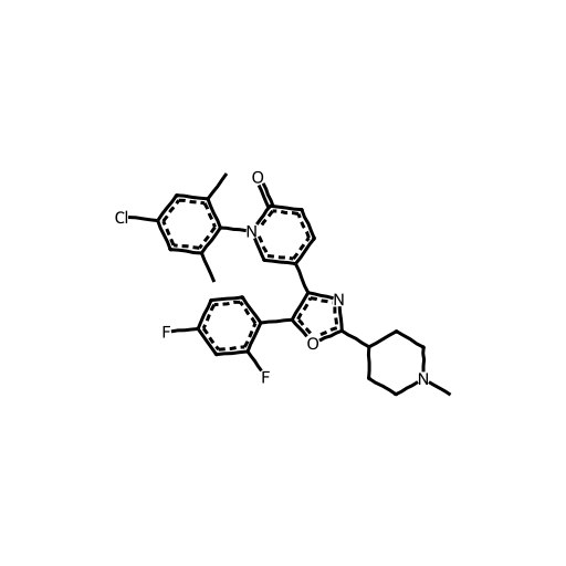 Cc1cc(Cl)cc(C)c1-n1cc(-c2nc(C3CCN(C)CC3)oc2-c2ccc(F)cc2F)ccc1=O